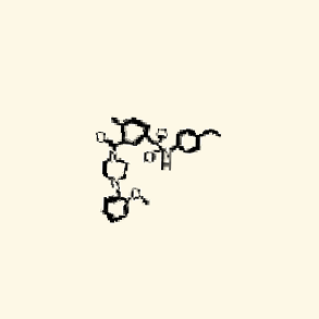 CCc1ccc(NS(=O)(=O)c2ccc(C)c(C(=O)N3CCN(c4ccccc4OC)CC3)c2)cc1